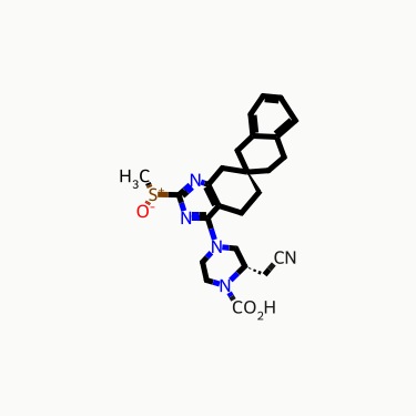 C[S+]([O-])c1nc2c(c(N3CCN(C(=O)O)[C@@H](CC#N)C3)n1)CC[C@@]1(CCc3ccccc3C1)C2